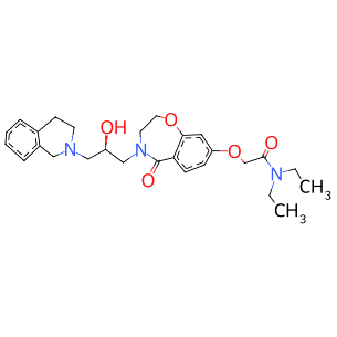 CCN(CC)C(=O)COc1ccc2c(c1)OCCN(C[C@H](O)CN1CCc3ccccc3C1)C2=O